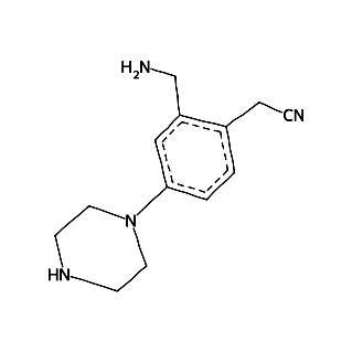 N#CCc1ccc(N2CCNCC2)cc1CN